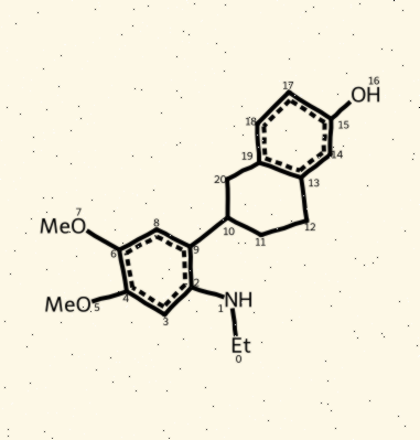 CCNc1cc(OC)c(OC)cc1C1CCc2cc(O)ccc2C1